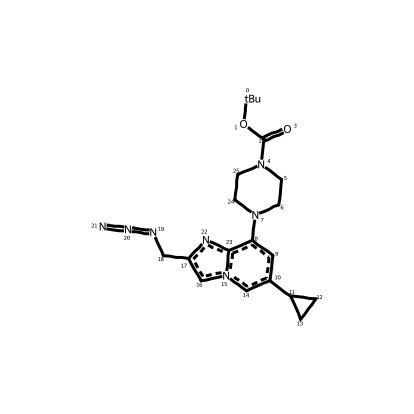 CC(C)(C)OC(=O)N1CCN(c2cc(C3CC3)cn3cc(CN=[N+]=[N-])nc23)CC1